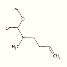 C=CCCN(C)C(=O)OC(C)C